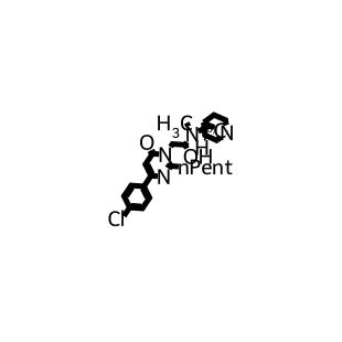 CCCCCc1nc(-c2ccc(Cl)cc2)cc(=O)n1CC(O)N(C)[C@@H]1CN2CCC1CC2